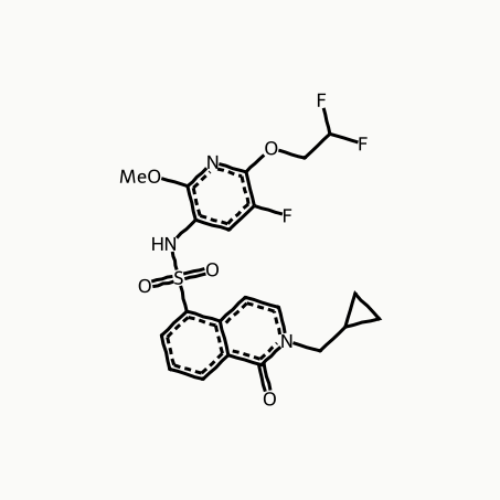 COc1nc(OCC(F)F)c(F)cc1NS(=O)(=O)c1cccc2c(=O)n(CC3CC3)ccc12